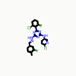 Cc1ccc(C=NNc2nc(Nc3ccc(Cl)nc3)nc(-c3c(F)cccc3Cl)n2)cc1F